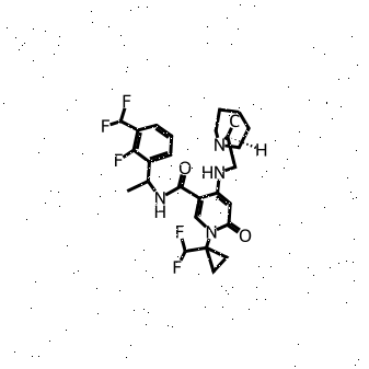 CC(NC(=O)c1cn(C2(C(F)F)CC2)c(=O)cc1NC[C@@H]1CC2CCN1CC2)c1cccc(C(F)F)c1F